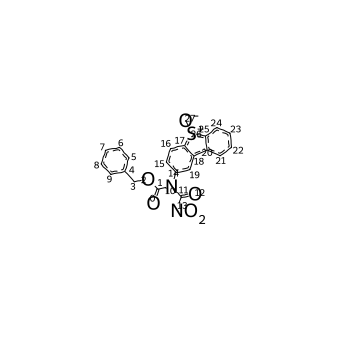 O=C(OCc1ccccc1)N(C(=O)[N+](=O)[O-])c1ccc2c(c1)c1ccccc1[s+]2[O-]